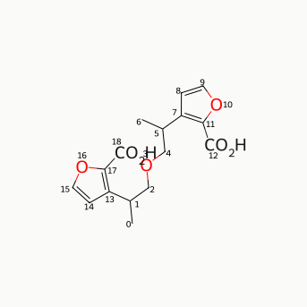 CC(COCC(C)c1ccoc1C(=O)O)c1ccoc1C(=O)O